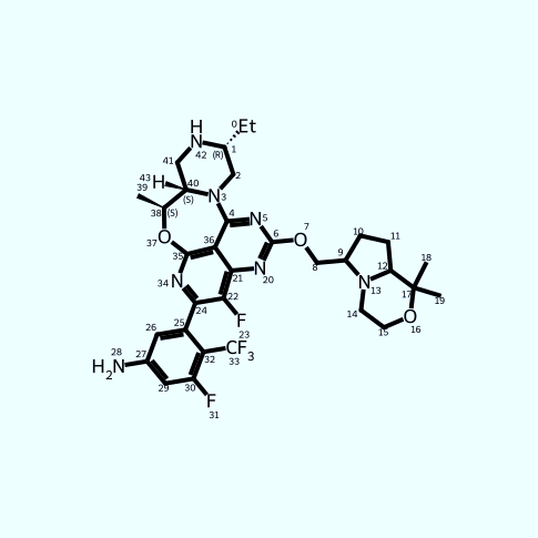 CC[C@@H]1CN2c3nc(OCC4CCC5N4CCOC5(C)C)nc4c(F)c(-c5cc(N)cc(F)c5C(F)(F)F)nc(c34)O[C@@H](C)[C@@H]2CN1